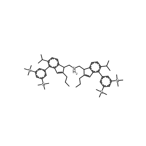 CCCC1=Cc2c(ccc(C(C)C)c2-c2cc([Si](C)(C)C)cc([Si](C)(C)C)c2)C1C[SiH2]CC1C(CCC)=Cc2c1ccc(C(C)C)c2-c1cc([Si](C)(C)C)cc([Si](C)(C)C)c1